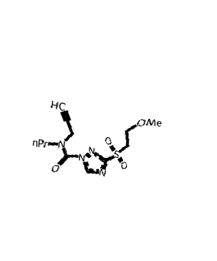 C#CCN(CCC)C(=O)n1cnc(S(=O)(=O)CCOC)n1